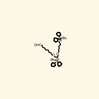 CC(C)(C)[Si](OCCCCCCOCC(COCCCCCCCCC=O)O[Si](c1ccccc1)(c1ccccc1)C(C)(C)C)(c1ccccc1)c1ccccc1